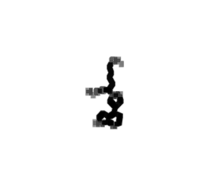 C=C=C(CCCCC)n1cc(-c2ccnc3[nH]ccc23)cn1